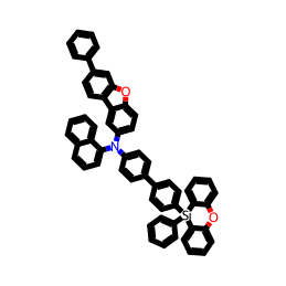 c1ccc(-c2ccc3c(c2)oc2ccc(N(c4ccc(-c5ccc([Si]6(c7ccccc7)c7ccccc7Oc7ccccc76)cc5)cc4)c4cccc5ccccc45)cc23)cc1